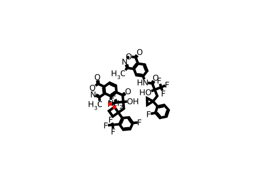 Cc1noc(=O)c2ccc(C(=O)C(O)(CC3(c4cc(F)ccc4C(F)(F)F)CCC3)C(F)(F)F)c(N)c12.Cc1noc(=O)c2ccc(NC(=O)C(O)(CC3(c4ccccc4F)CC3)C(F)(F)F)cc12